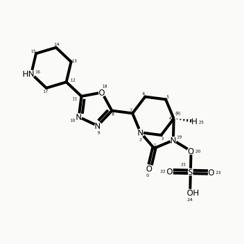 O=C1N2C[C@@H](CCC2c2nnc(C3CCCNC3)o2)N1OS(=O)(=O)O